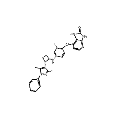 Cc1nn(-c2ccccc2)c(C)c1C1OCC1Nc1ccc(Oc2ccnc3[nH]c(=O)[nH]c23)c(F)c1